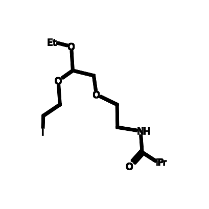 CCOC(COCCNC(=O)C(C)C)OCCI